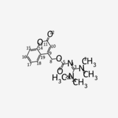 CN(C)C(=NC(=O)OCc1cc(=O)oc2ccccc12)N(C)C